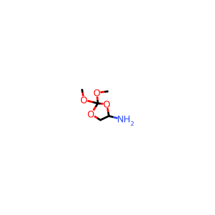 COC1(OC)OCC(N)O1